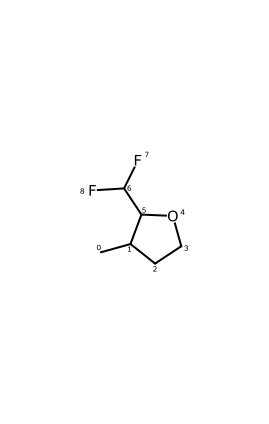 CC1CCOC1C(F)F